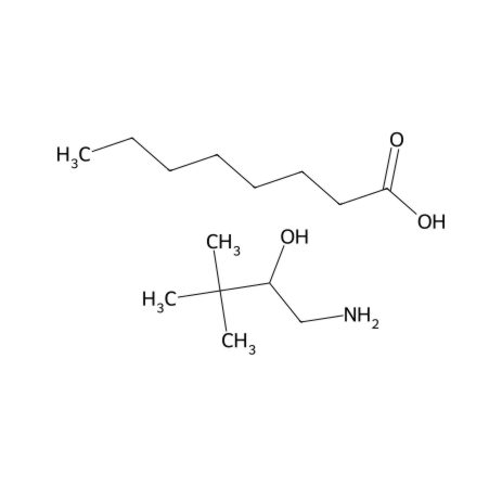 CC(C)(C)C(O)CN.CCCCCCCC(=O)O